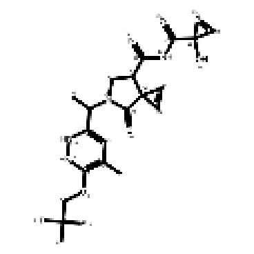 CC1=C(OCC(C)(F)F)NNC(C(C)N2CC(C(=N)NC(=O)C3(O)C=N3)C3(C=C3)C2=O)=C1